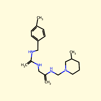 C=C(CNC(=C)NCc1ccc(C)cc1)NCN1CCCC(C)C1